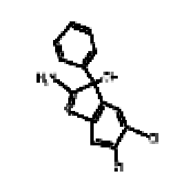 NC1=Nc2cc(Cl)c(Cl)cc2C1(O)c1ccccc1